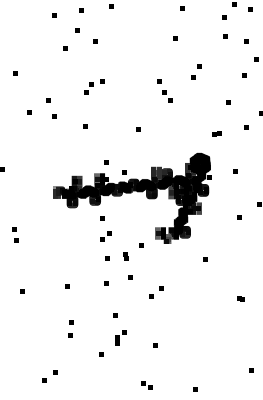 CC(C)C(=O)NCCC(=O)NCCOCCOCCC(=O)NCC(=O)NCC(=O)N[C@@H](Cc1ccccc1)C(=O)NCC(=O)NCCCC(N)=O